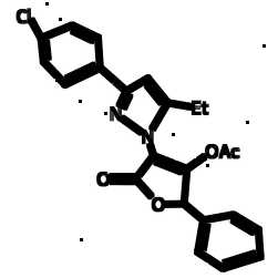 CCc1cc(-c2ccc(Cl)cc2)nn1C1=C(OC(C)=O)C(c2ccccc2)OC1=O